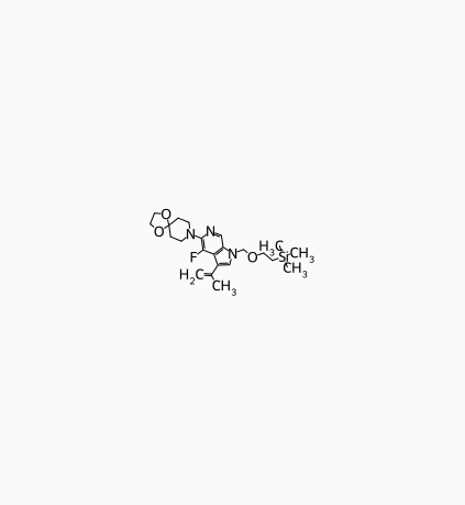 C=C(C)c1cn(COCC[Si](C)(C)C)c2cnc(N3CCC4(CC3)OCCO4)c(F)c12